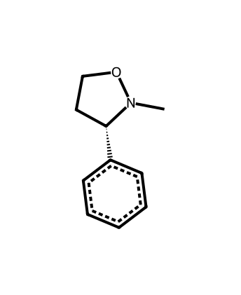 CN1OCC[C@H]1c1ccccc1